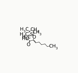 CCCCCC=C(O[Si](C)(C)C(C)(C)C)C(=O)O